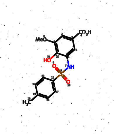 COc1cc(C(=O)O)cc(NS(=O)(=O)c2ccc(C)cc2)c1O